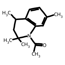 CC(=O)N1c2cc(C)ccc2C(C)CC1(C)C